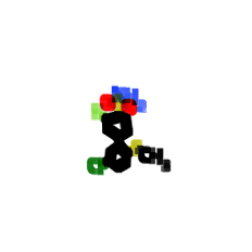 CSc1ccc(Cl)cc1-c1ccc(S(N)(=O)=O)c(F)c1